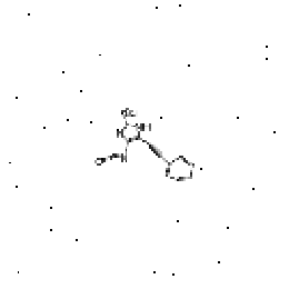 CC(C)(C)c1nc(N=C=O)c(C#Cc2ccccc2)[nH]1